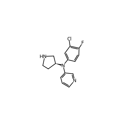 Fc1ccc(N(c2cccnc2)[C@H]2CCNC2)cc1Cl